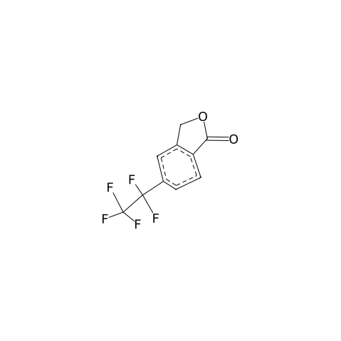 O=C1OCc2cc(C(F)(F)C(F)(F)F)ccc21